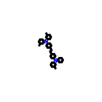 Cc1cccc(N(c2ccccc2)c2ccc(/C=C/c3ccc(N(c4cccc(C)c4)c4cccc(C)c4)cc3)cc2)c1